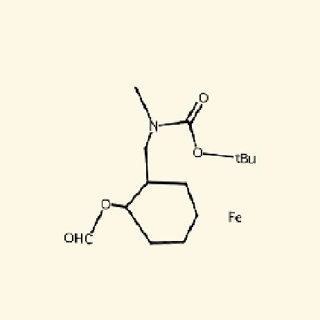 CN(CC1CCCCC1OC=O)C(=O)OC(C)(C)C.[Fe]